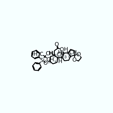 CC(C)(C)[Si](O[C@H]1CC[C@@]2(C)[C@@H](CC(=O)O[C@@H]3[C@@H]2CC[C@@]2(C)[C@H]3CCC23OCCO3)C1)(c1ccccc1)c1ccccc1